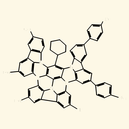 CC(C)(C)c1ccc(-c2ccc3c(c2)c2cc(-c4ccc(C(C)(C)C)cc4)cc4c2n3-c2c3c5c6c(c2C2CCCCC2)-n2c7ccc(C(C)(C)C)cc7c7cc(C(C)(C)C)cc(c72)B6c2cc(C(C)(C)C)cc6c7cc(C(C)(C)C)cc(c7n-5c26)B34)cc1